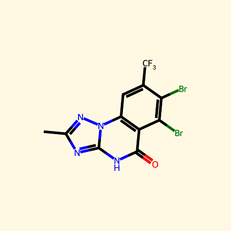 Cc1nc2[nH]c(=O)c3c(Br)c(Br)c(C(F)(F)F)cc3n2n1